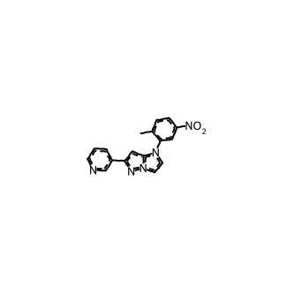 Cc1ccc([N+](=O)[O-])cc1-n1ccn2nc(-c3cccnc3)cc12